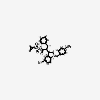 CC(C)c1ccc(CN2CC(C(Cc3ccccc3)C(=O)NS(=O)(=O)C3CC3)c3cc(Br)ccc32)cc1